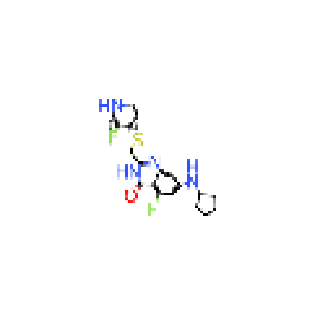 O=c1[nH]c(CS[C@H]2CCNC[C@H]2F)nc2cc(NC3CCCC3)cc(F)c12